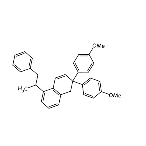 COc1ccc(C2(c3ccc(OC)cc3)C=Cc3c(cccc3C(C)Cc3ccccc3)C2)cc1